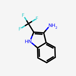 Nc1c(C(F)(F)F)[nH]c2ccccc12